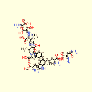 CC(C)C(N)C(=O)O.CC(C)CC(N)C(=O)O.CCC(C)C(N)C(=O)O.NC(=O)CC(N)C(=O)O.NC(CO)C(=O)O.NC(Cc1c[nH]c2ccccc12)C(=O)O.NC(Cc1ccccc1)C(=O)O.NCC(=O)O